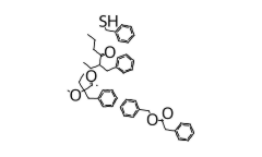 CCC([C]=O)(Cc1ccccc1)OC.CCCC(=O)C(CC)Cc1ccccc1.O=C(Cc1ccccc1)OCc1ccccc1.SCc1ccccc1